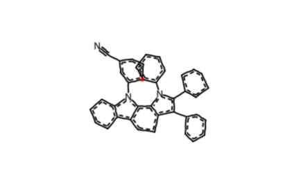 N#Cc1cccc(-n2c3ccccc3c3ccc4c(-c5ccccc5)c(-c5ccccc5)n(-c5ccccc5)c4c32)c1